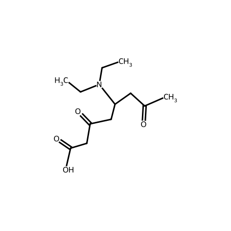 CCN(CC)C(CC(C)=O)CC(=O)CC(=O)O